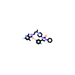 Cc1cc(F)nc(C)c1C(=O)NCCC(C)N1CCC(N2C(=O)N(C3CCCCC3)CC2c2cc(F)ccc2F)CC1